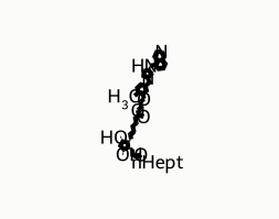 CCCCCCCC(=O)CC[C@@H]1[C@@H](C/C=C/CCCC(=O)OCCOc2cc(CN3CC[C@@H](Nc4cccc5cnccc45)C3)ccc2C)[C@@H](O)C[C@H]1O